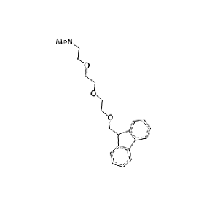 CNCCOCCOCCOCC1c2ccccc2-c2ccccc21